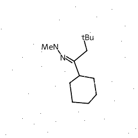 CNN=C(CC(C)(C)C)C1CCCCC1